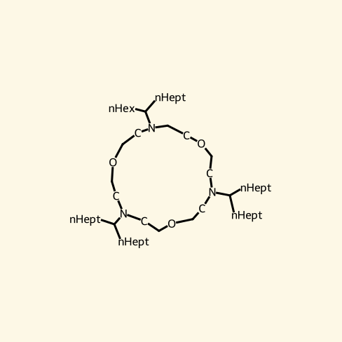 CCCCCCCC(CCCCCC)N1CCOCCN(C(CCCCCCC)CCCCCCC)CCOCCN(C(CCCCCCC)CCCCCCC)CCOCC1